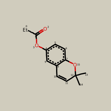 CCC(=O)Oc1ccc2c(c1)C=CC(C)(C)O2